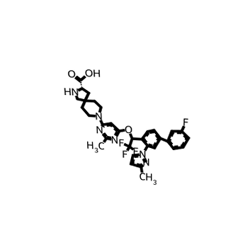 Cc1ccn(-c2cc(-c3cccc(F)c3)ccc2C(Oc2cc(N3CCC4(CC3)CN[C@H](C(=O)O)C4)nc(C)n2)C(F)(F)F)n1